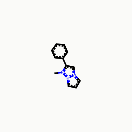 Cn1c(-c2ccccc2)cn2ccc[n+]12